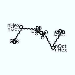 CCCCCCCCC1C(CCCCCC)CCC(CCCCCCCCC(CC)(CC)n2c(=O)c3cc4c(=O)n(CCCCCCCCC5CCC(CCCCCC)C(CCCCCCCC)C5CCCCCCCCC(CC)(CC)N5C(=O)C=CC5=O)c(=O)c4cc3c2=O)C1CCCCCCCCN1C(=O)C=CC1=O